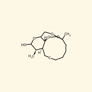 C[C@H]1C(O)OC2COC3(C)CCCCCC[C@@H]1[C@H]2OO3